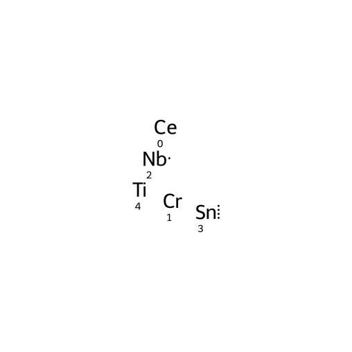 [Ce].[Cr].[Nb].[Sn].[Ti]